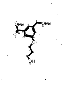 COCc1cc(OCCCO)cc(C(=O)OC)c1